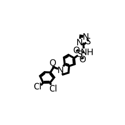 O=C(c1ccc(Cl)c(Cl)c1)N1CCc2cc(S(=O)(=O)Nc3ncns3)ccc21